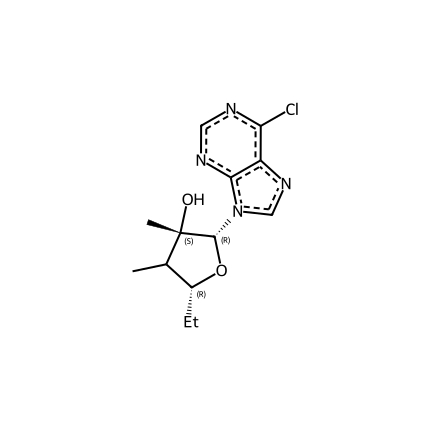 CC[C@H]1O[C@@H](n2cnc3c(Cl)ncnc32)[C@@](C)(O)C1C